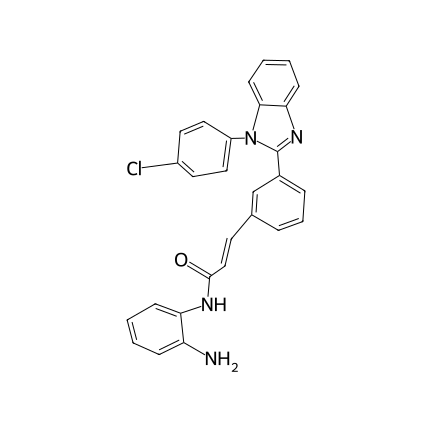 Nc1ccccc1NC(=O)C=Cc1cccc(-c2nc3ccccc3n2-c2ccc(Cl)cc2)c1